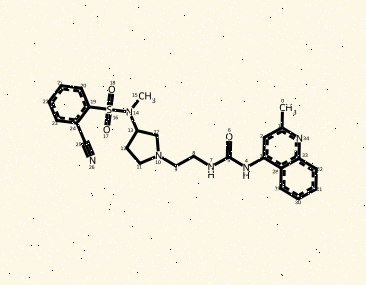 Cc1cc(NC(=O)NCCN2CCC(N(C)S(=O)(=O)c3ccccc3C#N)C2)c2ccccc2n1